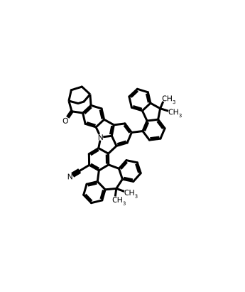 CC1(C)c2ccccc2-c2c(C#N)cc3c(c2-c2ccccc21)c1cc(-c2cccc4c2-c2ccccc2C4(C)C)cc2c4cc5c(cc4n3c21)C(=O)C1CCC5CC1